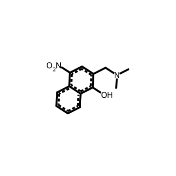 CN(C)Cc1cc([N+](=O)[O-])c2ccccc2c1O